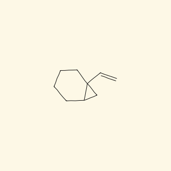 C=CC12CCCCC1C2